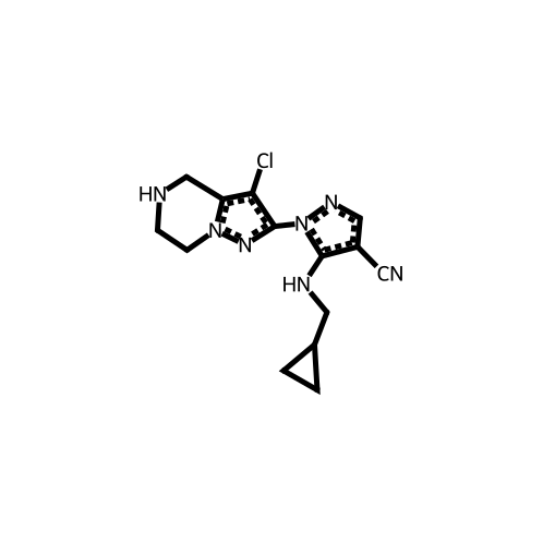 N#Cc1cnn(-c2nn3c(c2Cl)CNCC3)c1NCC1CC1